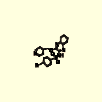 O=S(=O)(Nc1nc2ccccc2nc1OCc1ccncc1)c1ccc(Br)cc1